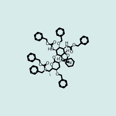 C[C@@H]([C@H]1OC(O[C@@H]2[C@@H](NC(=O)OCc3ccccc3)[C@H](OCc3ccccc3)[C@@H](NC(=O)OCc3ccccc3)[C@@H]3OC4(CCCCC4)O[C@@H]23)[C@H](N=[N+]=[N-])C[C@@H]1OCc1ccccc1)N(Cc1ccccc1)C(=O)OCc1ccccc1